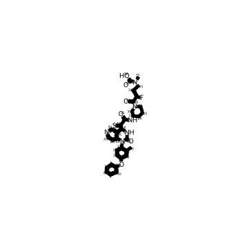 Cc1cc(Oc2ccccc2)ccc1N1C(=O)Nc2c(C(=O)NC3CCCN(C(=O)C(F)=CCN(C)C(=O)O)C3)sc3nccc1c23